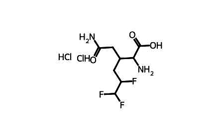 Cl.Cl.NC(=O)CC(CC(F)C(F)F)C(N)C(=O)O